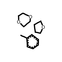 C1CCOC1.C1COCCO1.Cc1ccccc1